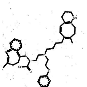 C/C1=C(CCCCN(CCOc2ccccc2)CC[C@H](N\C2=c3/cccc/c3=N/C=C(\C)CC2)C(=O)O)/C=C\C2=C(CC1)NCCC2